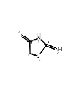 N=C1NC(=S)CS1